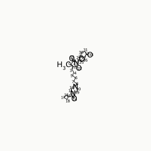 CC1=C(CCCCCCN2CCN(C(=O)C3CCC3)CC2)C(=O)N(c2ccc3c(c2)CCC3=O)C1=O